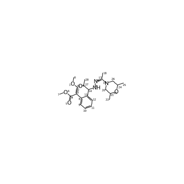 COC=C(C(=O)OC)c1ccccc1C(NN=C(C)N1CC(C)OC(C)C1)C(C)=O